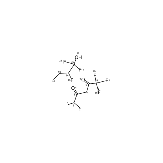 CC(C)C(=O)CC(=O)C(F)(F)F.CCC(F)C(O)(F)F